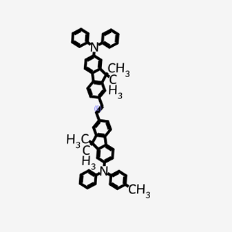 Cc1ccc(N(c2ccccc2)c2ccc3c(c2)C(C)(C)c2cc(/C=C/c4ccc5c(c4)C(C)(C)c4cc(N(c6ccccc6)c6ccccc6)ccc4-5)ccc2-3)cc1